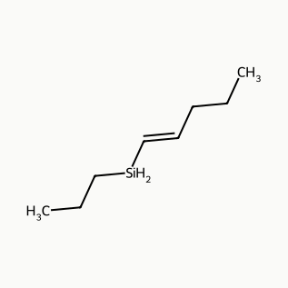 CCCC=C[SiH2]CCC